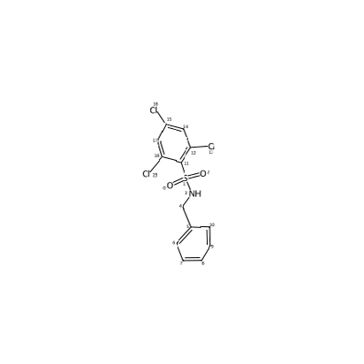 O=S(=O)(NCc1ccccc1)c1c(Cl)cc(Cl)cc1Cl